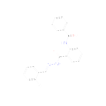 Cc1ccccc1/C=N/NC(=O)c1ccccc1NC(=O)c1ccccc1